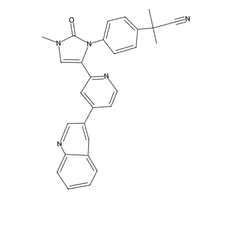 Cn1cc(-c2cc(-c3cnc4ccccc4c3)ccn2)n(-c2ccc(C(C)(C)C#N)cc2)c1=O